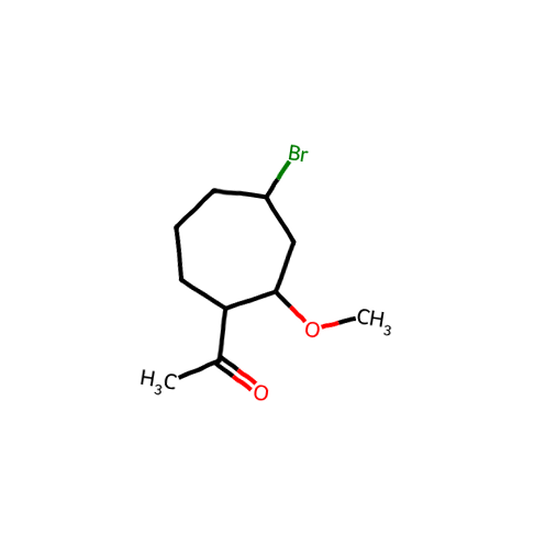 COC1CC(Br)CCCC1C(C)=O